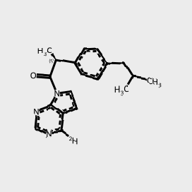 [2H]c1ncnc2c1ccn2C(=O)[C@@H](C)c1ccc(CC(C)C)cc1